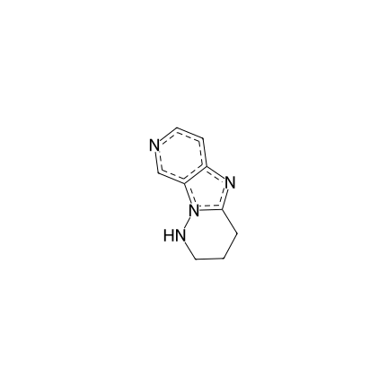 c1cc2nc3n(c2cn1)NCCC3